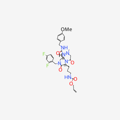 C=CCOC(=O)NCCC[C@H]1C(=O)N(Cc2ccc(F)cc2F)C[C@H]2N1C(=O)CN(C)N2C(=O)NCc1ccc(OC)cc1